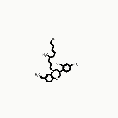 C=CC1=CC2=C(CC1)OCC(c1ccc(C)cc1CCC)CN2CCCC(C)C/C=C/CCC(C)C